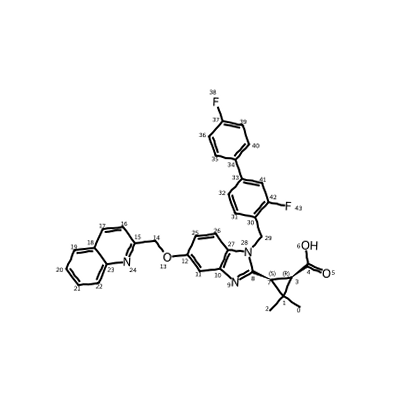 CC1(C)[C@H](C(=O)O)[C@@H]1c1nc2cc(OCc3ccc4ccccc4n3)ccc2n1Cc1ccc(-c2ccc(F)cc2)cc1F